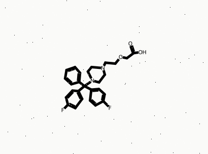 O=C(O)COCCN1CCN(C(c2ccccc2)(c2ccc(F)cc2)c2ccc(F)cc2)CC1